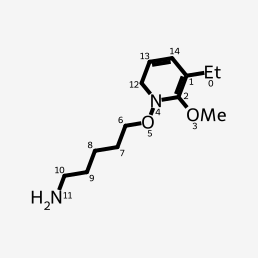 CCC1=C(OC)N(OCCCCCN)CC=C1